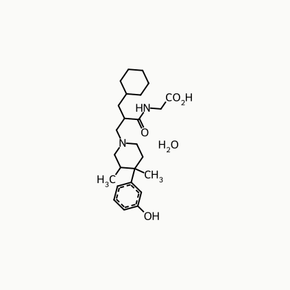 CC1CN(CC(CC2CCCCC2)C(=O)NCC(=O)O)CCC1(C)c1cccc(O)c1.O